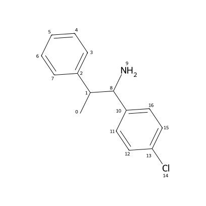 CC(c1ccccc1)C(N)c1ccc(Cl)cc1